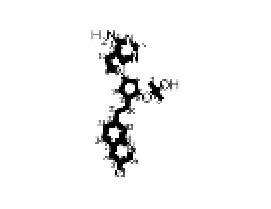 CC(C)(O)O[C@H]1CC(n2ccc3c(N)ncnc32)CC1CCc1ccc2cc(Cl)cnc2c1